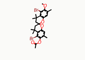 COc1c(C)cc2c(c1Br)C(C)(C)CC1(CC(C)(C)c3c(cc(C)c(OC(C)=O)c3Br)O1)O2